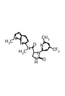 Cc1cc(C(F)(F)F)cc(N2C(=O)NCC2C(=O)N(C)c2ccc3ccn(C)c3n2)n1